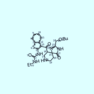 CCNC(=O)Nc1sc2ccccc2c1C(=O)C1CNCCC12N=C(COCC(C)C)NC2=O